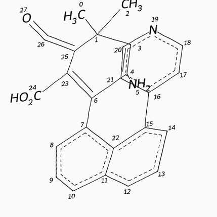 CC1(C)C=C(N)C(c2cccc3cccc(-c4ccncc4)c23)=C(C(=O)O)C1=C=O